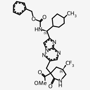 COC(=O)C1(Cc2cnc3nc([C@@H](NC(=O)OCc4ccccc4)C4CCC(C)CC4)cn3n2)C[C@@H](C(F)(F)F)CNC1=O